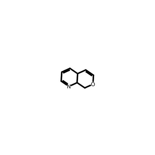 C1=CC2C=COCC2N=C1